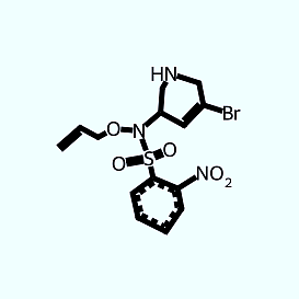 C=CCON(C1C=C(Br)CNC1)S(=O)(=O)c1ccccc1[N+](=O)[O-]